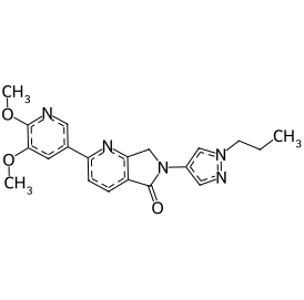 CCCn1cc(N2Cc3nc(-c4cnc(OC)c(OC)c4)ccc3C2=O)cn1